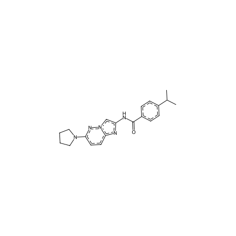 CC(C)c1ccc(C(=O)Nc2cn3nc(N4CCCC4)ccc3n2)cc1